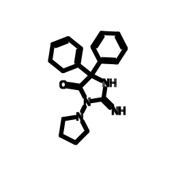 N=C1NC(C2=CC=CCC2)(c2ccccc2)C(=O)N1N1CCCC1